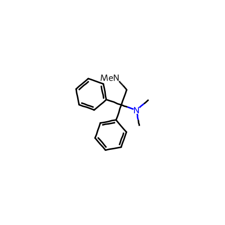 CNCC(c1ccccc1)(c1ccccc1)N(C)C